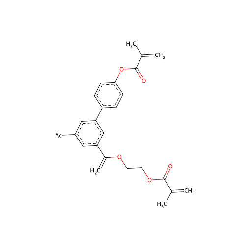 C=C(C)C(=O)OCCOC(=C)c1cc(C(C)=O)cc(-c2ccc(OC(=O)C(=C)C)cc2)c1